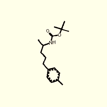 Cc1ccc(CCCC(C)NC(=O)OC(C)(C)C)cc1